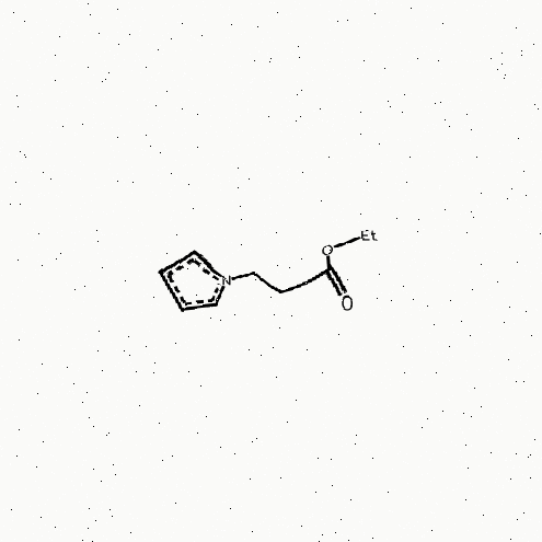 CCOC(=O)CCn1cccc1